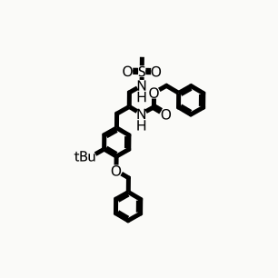 CC(C)(C)c1cc(CC(CNS(C)(=O)=O)NC(=O)OCc2ccccc2)ccc1OCc1ccccc1